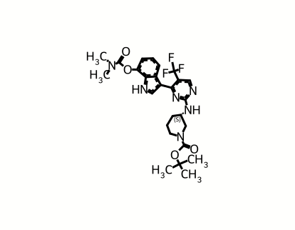 CN(C)C(=O)Oc1cccc2c(-c3nc(N[C@H]4CCCN(C(=O)OC(C)(C)C)C4)ncc3C(F)(F)F)c[nH]c12